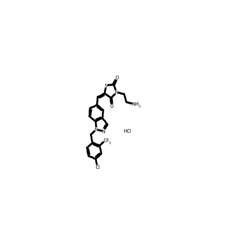 Cl.NCCN1C(=O)SC(=Cc2ccc3c(cnn3Cc3ccc(Cl)cc3C(F)(F)F)c2)C1=O